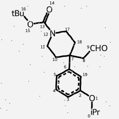 CC(C)Oc1cccc(C2(CC=O)CCN(C(=O)OC(C)(C)C)CC2)c1